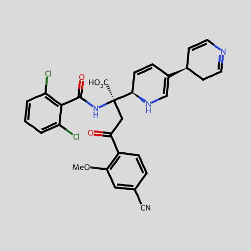 COc1cc(C#N)ccc1C(=O)C[C@](NC(=O)c1c(Cl)cccc1Cl)(C(=O)O)[C@H]1C=CC([C@H]2C=CN=CC2)=CN1